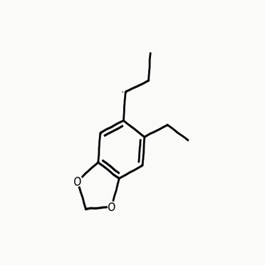 CC[CH]c1cc2c(cc1CC)OCO2